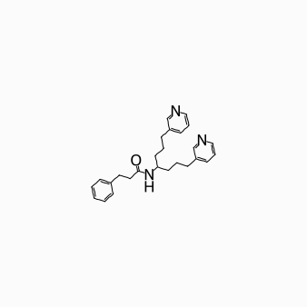 O=C(CCc1ccccc1)NC(CCCc1cccnc1)CCCc1cccnc1